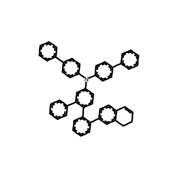 C1=Cc2ccc(-c3ccccc3-c3ccc(N(c4ccc(-c5ccccc5)cc4)c4ccc(-c5ccccc5)cc4)cc3-c3ccccc3)cc2CC1